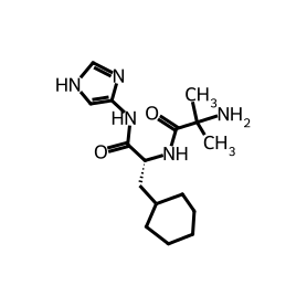 CC(C)(N)C(=O)N[C@H](CC1CCCCC1)C(=O)Nc1c[nH]cn1